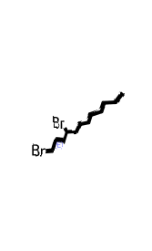 CCCCCCCCC(Br)/C=C/CBr